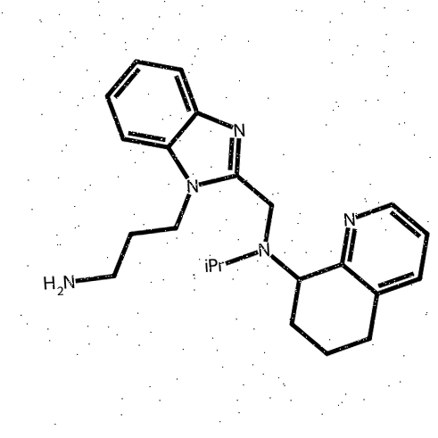 CC(C)N(Cc1nc2ccccc2n1CCCN)C1CCCc2cccnc21